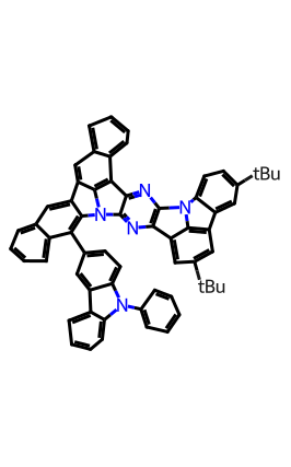 CC(C)(C)c1ccc2c(c1)c1cc(C(C)(C)C)cc3c4nc5c(nc4n2c13)c1c2ccccc2cc2c3cc4ccccc4c(-c4ccc6c(c4)c4ccccc4n6-c4ccccc4)c3n5c21